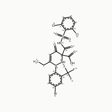 CCC1=CC(=O)C(C(=O)O)(C(=O)NS(=O)(=O)c2c(Cl)cccc2Cl)NN1c1ccc(Br)cc1C(F)(F)F